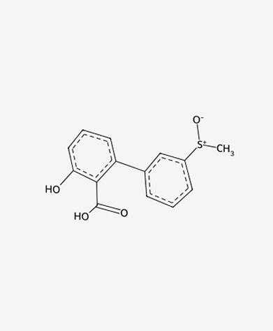 C[S+]([O-])c1cccc(-c2cccc(O)c2C(=O)O)c1